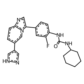 O=C(Nc1ccc(-c2cnc3ccc(-c4cn[nH]c4)cn23)cc1F)NC1CCCCC1